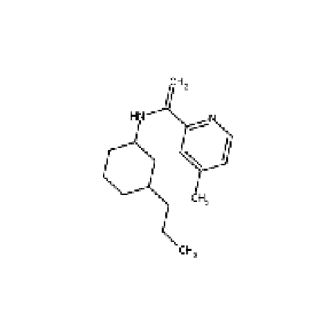 C=C(NC1CCCC(CCC)C1)c1cc(C)ccn1